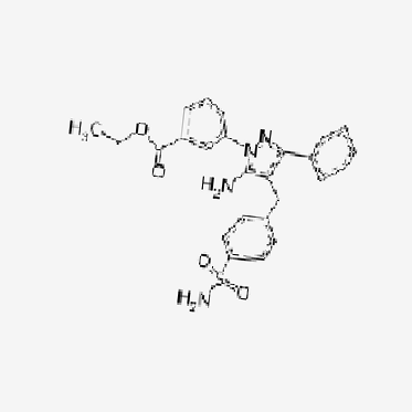 CCOC(=O)c1cccc(-n2nc(-c3ccccc3)c(Cc3ccc(S(N)(=O)=O)cc3)c2N)c1